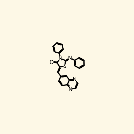 O=C1C(=Cc2ccc3nccnc3c2)SC(=Nc2ccccc2)N1c1ccccc1